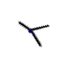 CCCCCCCCCCCCCCCCCCC1N(CCCCCCCCCCCCC)C=CN1CCCCCCCCCCCCCCCCC